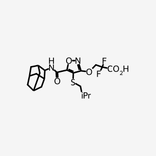 CC(C)CSc1c(OCC(F)(F)C(=O)O)noc1C(=O)NC1C2CC3CC(C2)CC1C3